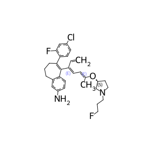 C=C/C(=C\C=C(/C)O[C@H]1CCN(CCCF)C1)C1=C(c2ccc(Cl)cc2F)CCCc2cc(N)ccc21